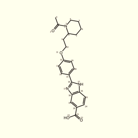 CC(=O)N1CCCCC1CCOc1ccc(-c2nc3cc(C(=O)O)ccc3[nH]2)cc1